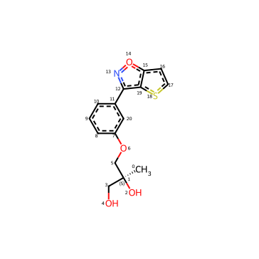 C[C@](O)(CO)COc1cccc(-c2noc3ccsc23)c1